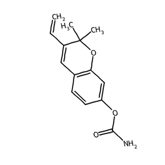 C=CC1=Cc2ccc(OC(N)=O)cc2OC1(C)C